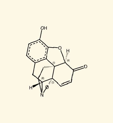 O=C1C=C[C@]23OCN4CC[C@@]25c2c(ccc(O)c2O[C@@H]15)C[C@@H]43